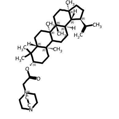 C=C(C)[C@@H]1CC[C@]2(C)CC[C@]3(C)[C@H](CCC4[C@@]5(C)CC[C@H](OC(=O)C[N+]67CCN(CC6)CC7)C(C)(C)[C@@H]5CC[C@]43C)[C@@H]12